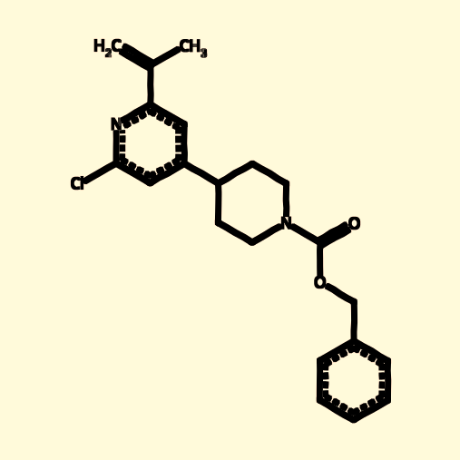 C=C(C)c1cc(C2CCN(C(=O)OCc3ccccc3)CC2)cc(Cl)n1